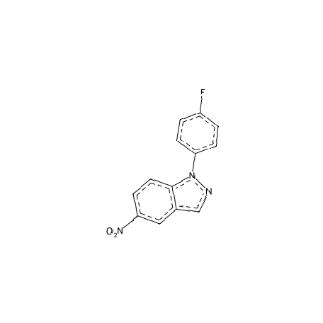 O=[N+]([O-])c1ccc2c(cnn2-c2ccc(F)cc2)c1